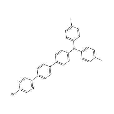 Cc1ccc(N(c2ccc(C)cc2)c2ccc(-c3ccc(-c4ccc(Br)cn4)cc3)cc2)cc1